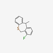 CC1c2ccccc2SCc2c(F)cccc21